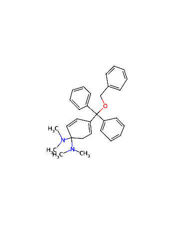 CN(C)C1(N(C)C)C=CC(C(OCc2ccccc2)(c2ccccc2)c2ccccc2)=CC1